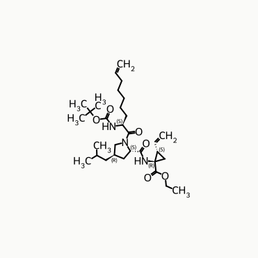 C=CCCCCC[C@H](NC(=O)OC(C)(C)C)C(=O)N1C[C@H](CC(C)C)C[C@H]1C(=O)N[C@]1(C(=O)OCC)C[C@H]1C=C